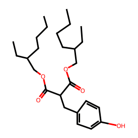 CCCCC(CC)COC(=O)C(Cc1ccc(O)cc1)C(=O)OCC(CC)CCCC